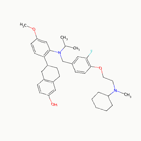 COc1ccc(C2CCc3cc(O)ccc3C2)c(N(Cc2ccc(OCCN(C)C3CCCCC3)c(F)c2)C(C)C)c1